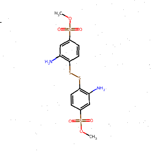 COS(=O)(=O)c1ccc(SSc2ccc(S(=O)(=O)OC)cc2N)c(N)c1